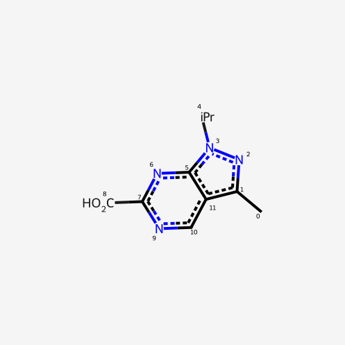 Cc1nn(C(C)C)c2nc(C(=O)O)ncc12